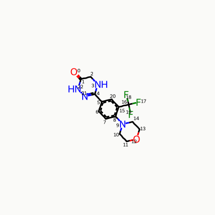 O=C1CNC(c2ccc(N3CCOCC3)c(C(F)(F)F)c2)=NN1